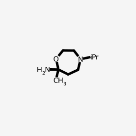 CC(C)N1CCOC(C)(N)CC1